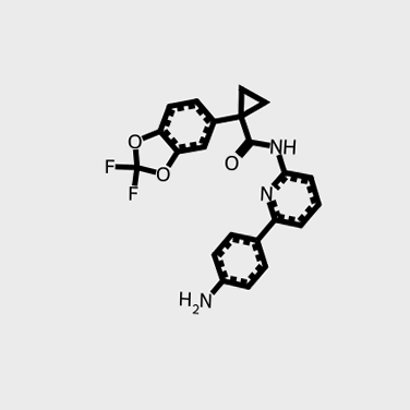 Nc1ccc(-c2cccc(NC(=O)C3(c4ccc5c(c4)OC(F)(F)O5)CC3)n2)cc1